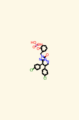 O=c1n(Cc2ccccc2OP(=O)(O)O)nc2c(-c3ccc(Cl)cc3)c(-c3ccc(Cl)cc3)cnn12